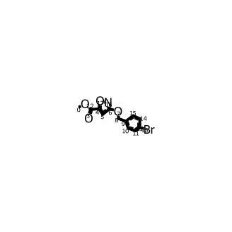 COC(=O)c1cc(OCc2ccc(Br)cc2)no1